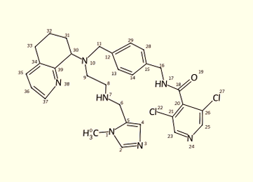 Cn1cncc1CNCCN(Cc1ccc(CNC(=O)c2c(Cl)cncc2Cl)cc1)C1CCCc2cccnc21